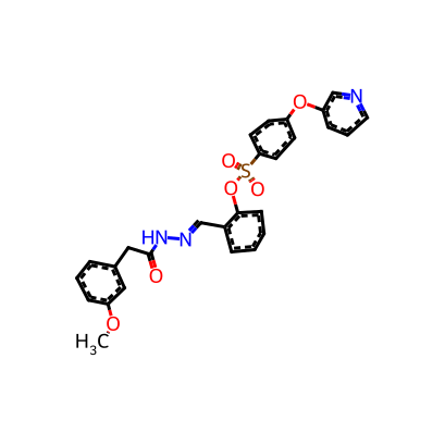 COc1cccc(CC(=O)NN=Cc2ccccc2OS(=O)(=O)c2ccc(Oc3cccnc3)cc2)c1